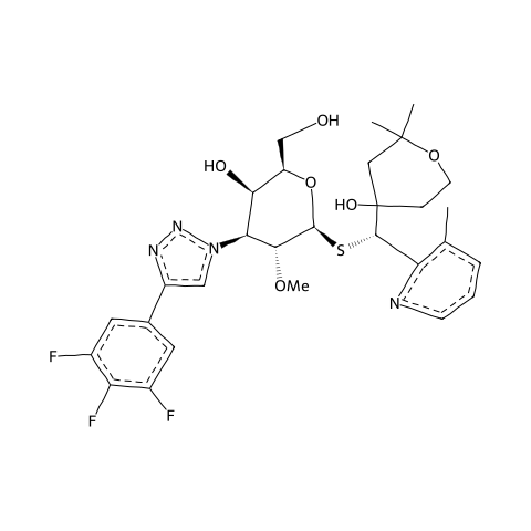 CO[C@@H]1[C@@H](n2cc(-c3cc(F)c(F)c(F)c3)nn2)[C@@H](O)[C@@H](CO)O[C@H]1S[C@@H](c1ncccc1C)C1(O)CCOC(C)(C)C1